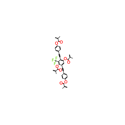 C=C(C)C(=O)Oc1ccc(C#Cc2cc(OC(=O)C(=C)C)c(C#Cc3ccc(OC(=O)C(=C)C)cc3)c(C(F)(F)F)c2OC(=O)C(=C)C)cc1